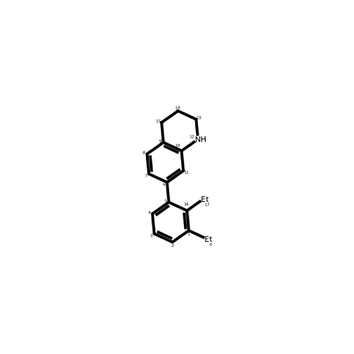 CCc1cccc(-c2ccc3c(c2)NCCC3)c1CC